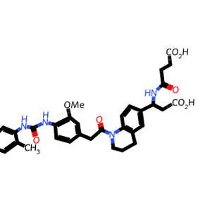 COc1cc(CC(=O)N2CCCc3cc(C(CC(=O)O)NC(=O)CCC(=O)O)ccc32)ccc1NC(=O)Nc1ccccc1C